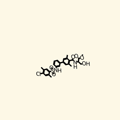 COC(=O)C(CO)NC(=O)c1c(C)cc(-c2cccc(NS(=O)(=O)c3cc(C)c(Cl)cc3C)c2)cc1C